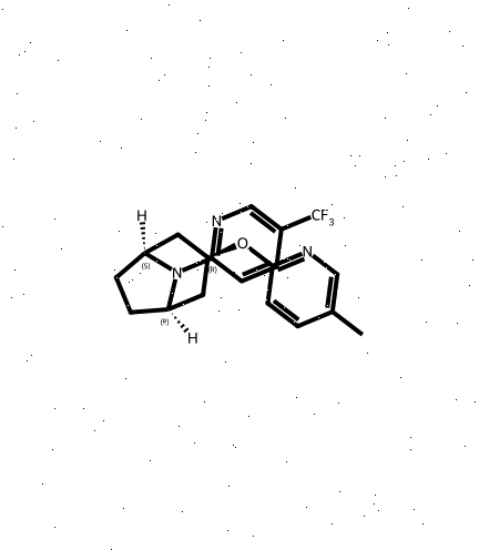 Cc1ccc(O[C@H]2C[C@H]3CC[C@@H](C2)N3c2ccc(C(F)(F)F)cn2)nc1